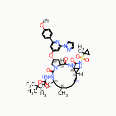 CC(C)Oc1ccc(-c2cc(O[C@@H]3C[C@H]4C(=O)N[C@]5(C(=O)NS(=O)(=O)C6(C)CC6)C[C@@H]5/C=C\CC[C@@H](C)C[C@@H](C)N(NC(=O)OC(C)(C)C(F)(F)F)C(=O)N4C3)cc(-n3cccn3)n2)cc1